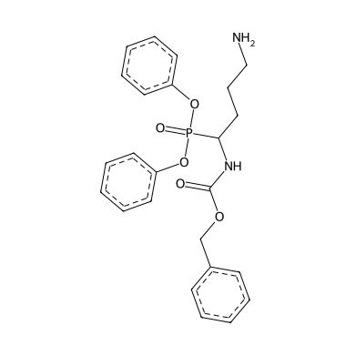 NCCCC(NC(=O)OCc1ccccc1)P(=O)(Oc1ccccc1)Oc1ccccc1